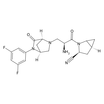 N#C[C@@H]1C[C@@H]2CC2N1C(=O)[C@@H](N)CN1C[C@@H]2C[C@H]1C(=O)N2c1cc(F)cc(F)c1